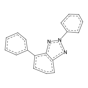 c1ccc(-c2cccc3nn(-c4ccccc4)nc23)cc1